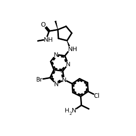 CNC(=O)[C@]1(C)CC[C@@H](Nc2ncc3c(Br)nn(-c4ccc(Cl)c(C(C)N)c4)c3n2)C1